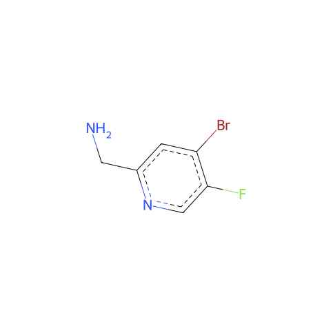 NCc1cc(Br)c(F)cn1